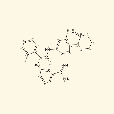 N=C(N)c1cccc(NC(C(=O)Nc2ccc(N3CCCCC3=O)c(F)c2)c2ccccc2F)c1